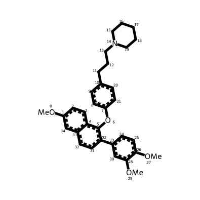 COc1ccc2c(Oc3ccc(CCCN4CCCCC4)cc3)c(-c3ccc(OC)c(OC)c3)ccc2c1